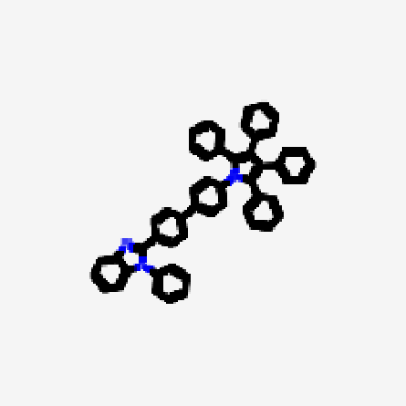 c1ccc(-c2c(-c3ccccc3)c(-c3ccccc3)n(-c3ccc(-c4ccc(-c5nc6ccccc6n5-c5ccccc5)cc4)cc3)c2-c2ccccc2)cc1